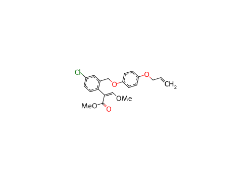 C=CCOc1ccc(OCc2cc(Cl)ccc2/C(=C/OC)C(=O)OC)cc1